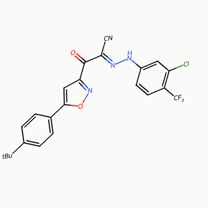 CC(C)(C)c1ccc(-c2cc(C(=O)C(C#N)=NNc3ccc(C(F)(F)F)c(Cl)c3)no2)cc1